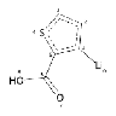 [Li][c]1ccsc1C(=O)O